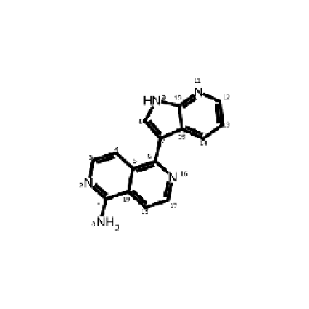 Nc1nccc2c(-c3c[nH]c4ncccc34)nccc12